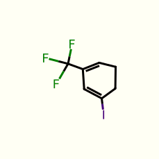 FC(F)(F)C1=CCCC(I)=C1